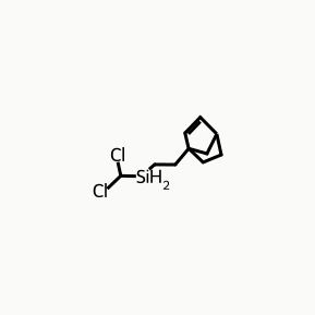 ClC(Cl)[SiH2]CCC12C=CC(CC1)C2